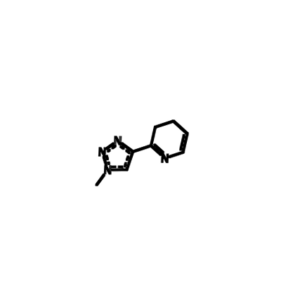 Cn1cc(C2=NC=CCC2)nn1